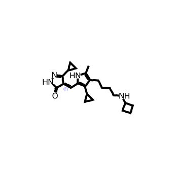 Cc1[nH]c(/C=C2/C(=O)NN=C2C2CC2)c(C2CC2)c1CCCCNC1CCC1